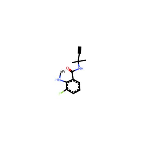 C#CC(C)(C)NC(=O)c1cccc(F)c1NCCC